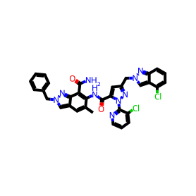 Cc1cc2cn(Cc3ccccc3)nc2c(C(N)=O)c1NC(=O)c1cc(Cn2cc3c(Cl)cccc3n2)nn1-c1ncccc1Cl